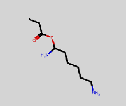 CCC(=O)OC(N)CCCCCN